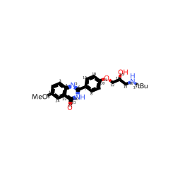 COc1ccc2nc(-c3ccc(OCC(O)CNC(C)(C)C)cc3)[nH]c(=O)c2c1